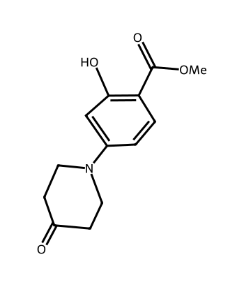 COC(=O)c1ccc(N2CCC(=O)CC2)cc1O